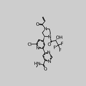 C=CC(=O)N1CCN(C(=O)[C@H](O)C(F)(F)F)[C@@H](c2cc(Cl)nc(-c3cc(C(=O)NC)ncn3)c2)C1